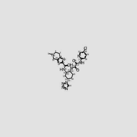 CN1CCc2nc(C(=O)N[C@@H]3C[C@@H](n4cnnn4)CC[C@@H]3NC(=O)C(=O)Nc3ccc(Cl)cn3)sc2C1